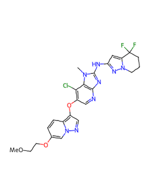 COCCOc1ccc2c(Oc3cnc4nc(Nc5cc6n(n5)CCCC6(F)F)n(C)c4c3Cl)cnn2c1